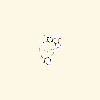 Cc1cc2[nH]c(=O)c3cnn(C4CCOCC4)c3c2cc1C(=O)N1CCN(Cc2ccncc2F)[C@@H](C)C1